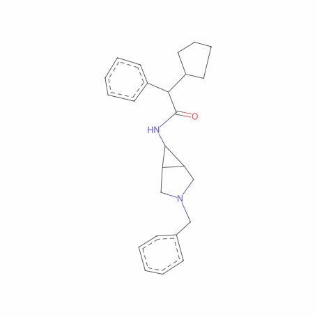 O=C(NC1C2CN(Cc3ccccc3)CC21)C(c1ccccc1)C1CCCC1